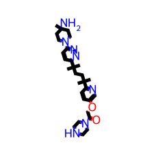 CC1(N)CCN(c2ccc(C(C)(C)CCC(C)(C)c3ccc(OCC(=O)N4CCNCC4)cn3)nn2)CC1